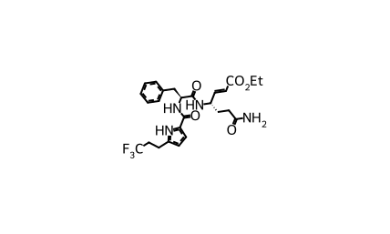 CCOC(=O)/C=C/[C@H](CCC(N)=O)NC(=O)[C@H](Cc1ccccc1)NC(=O)c1ccc(CCC(F)(F)F)[nH]1